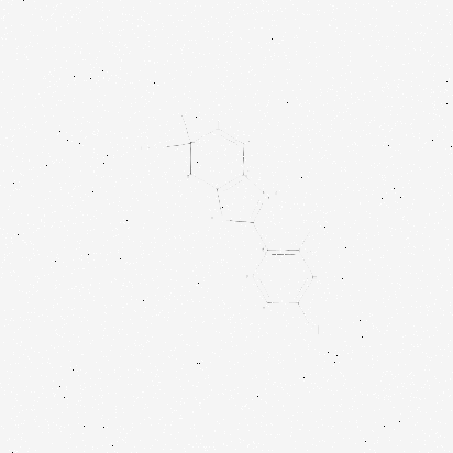 CC1(C(=O)O)C=Cc2nc(-c3ccc(Cl)cc3Cl)oc2C1